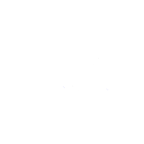 Cc1cc(C#N)cc(-c2ccc(-c3ccccc3)[nH]c2=O)c1